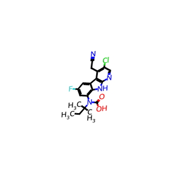 CCC(C)(C)N(C(=O)O)c1cc(F)cc2c1[nH]c1ncc(Cl)c(CC#N)c12